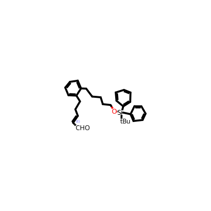 CC(C)(C)[Si](OCCCCCc1ccccc1CC/C=C/C=O)(c1ccccc1)c1ccccc1